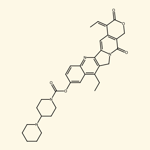 C/C=C1/C(=O)OCc2c1cc1n(c2=O)Cc2c-1nc1ccc(OC(=O)N3CCC(N4CCCCC4)CC3)cc1c2CC